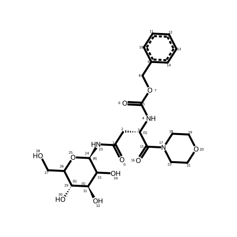 O=C(C[C@H](NC(=O)OCc1ccccc1)C(=O)N1CCOCC1)N[C@@H]1OC(CO)[C@@H](O)[C@H](O)C1O